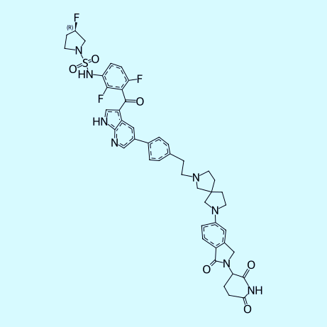 O=C1CCC(N2Cc3cc(N4CCC5(CCN(CCc6ccc(-c7cnc8[nH]cc(C(=O)c9c(F)ccc(NS(=O)(=O)N%10CC[C@@H](F)C%10)c9F)c8c7)cc6)C5)C4)ccc3C2=O)C(=O)N1